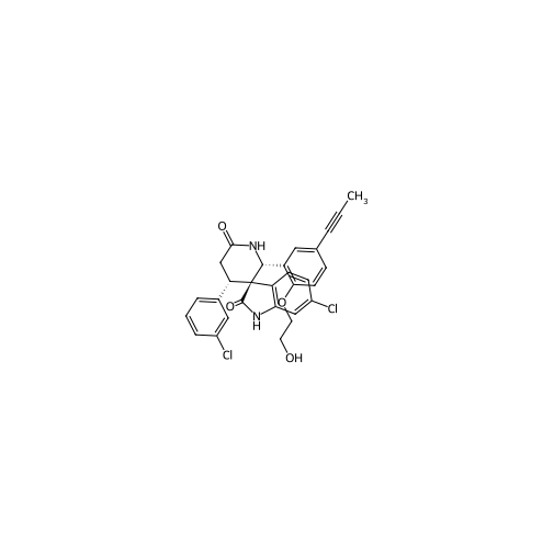 CC#Cc1ccc(OCCO)c([C@H]2NC(=O)C[C@@H](c3cccc(Cl)c3)[C@]23C(=O)Nc2cc(Cl)ccc23)c1